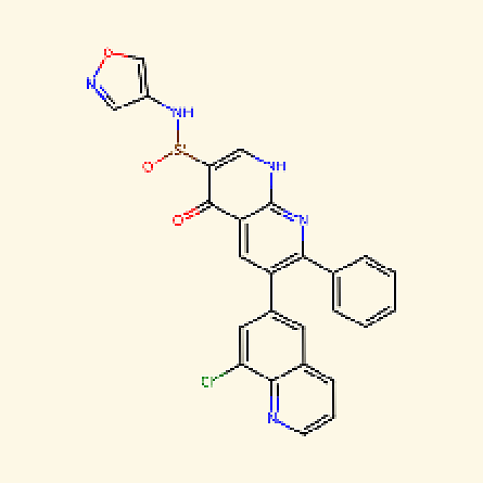 O=c1c([S+]([O-])Nc2cnoc2)c[nH]c2nc(-c3ccccc3)c(-c3cc(Cl)c4ncccc4c3)cc12